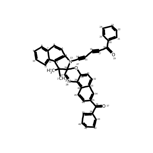 CC1(C)c2c(ccc3ccccc23)N(C#CC#CC(=O)c2ccccc2)C12C=Nc1c(ccc3cc(C(=O)c4ccccc4)ccc13)O2